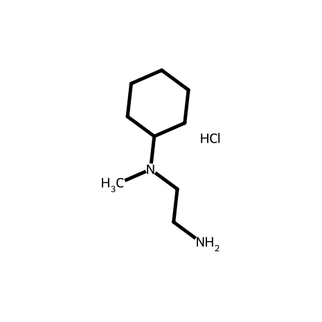 CN(CCN)C1CCCCC1.Cl